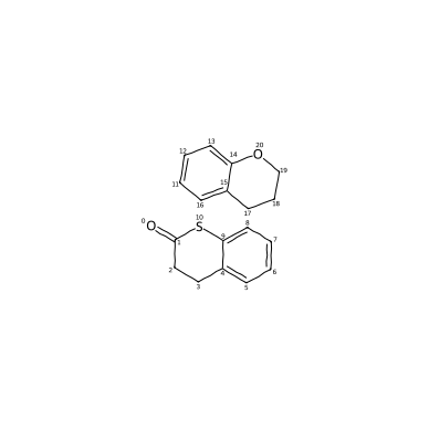 O=C1CCc2ccccc2S1.c1ccc2c(c1)CCCO2